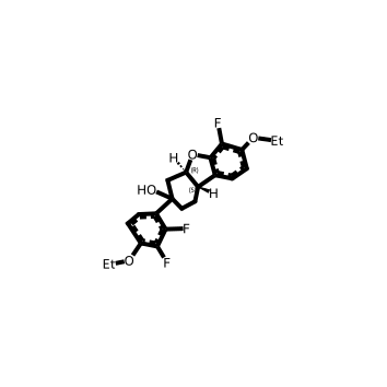 CCOc1ccc(C2(O)CC[C@H]3c4ccc(OCC)c(F)c4O[C@@H]3C2)c(F)c1F